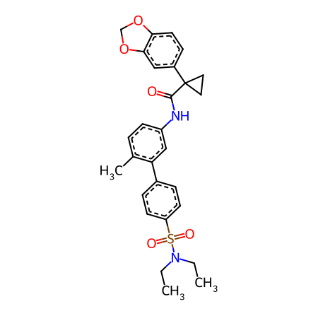 CCN(CC)S(=O)(=O)c1ccc(-c2cc(NC(=O)C3(c4ccc5c(c4)OCO5)CC3)ccc2C)cc1